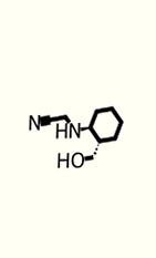 N#CCN[C@H]1CCCC[C@@H]1CO